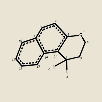 IC1(I)CCSc2ccc3ccccc3c21